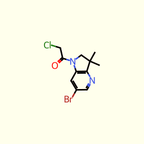 CC1(C)CN(C(=O)CCl)c2cc(Br)cnc21